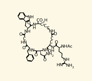 CC(=O)N[C@@H](CCCNC(=N)N)C(=O)NC1CCC(=O)NCCCC(C(=O)O)NC(=O)[C@H](Cc2c[nH]c3ccccc23)NC(=O)CNC(=O)C(Cc2ccccc2)NC(=O)[C@H](CC(N)=O)NC1=O